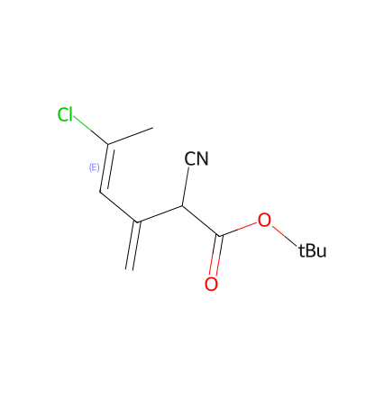 C=C(/C=C(\C)Cl)C(C#N)C(=O)OC(C)(C)C